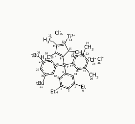 CCc1cc(CC)cc([Si](C2=C(C)C(C)=[C]([Ti+3])C2C)(c2cc(C)cc(C)c2)c2cc(C(C)(C)C)cc(C(C)(C)C)c2)c1.[Cl-].[Cl-].[Cl-]